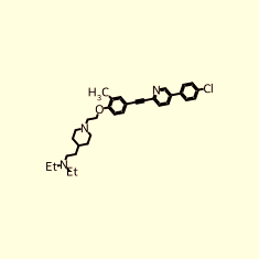 CCN(CC)CCC1CCN(CCOc2ccc(C#Cc3ccc(-c4ccc(Cl)cc4)cn3)cc2C)CC1